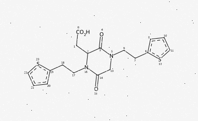 O=C(O)CC1C(=O)N(CCc2cccs2)CC(=O)N1CCc1cccs1